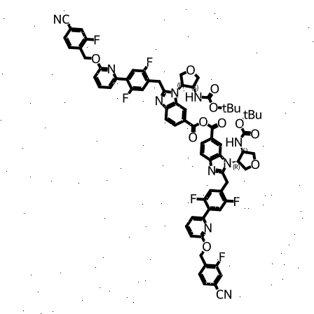 CC(C)(C)OC(=O)N[C@@H]1COC[C@@H]1n1c(Cc2cc(F)c(-c3cccc(OCc4ccc(C#N)cc4F)n3)cc2F)nc2ccc(C(=O)OC(=O)c3ccc4nc(Cc5cc(F)c(-c6cccc(OCc7ccc(C#N)cc7F)n6)cc5F)n([C@H]5COC[C@H]5NC(=O)OC(C)(C)C)c4c3)cc21